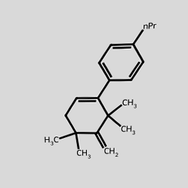 C=C1C(C)(C)CC=C(c2ccc(CCC)cc2)C1(C)C